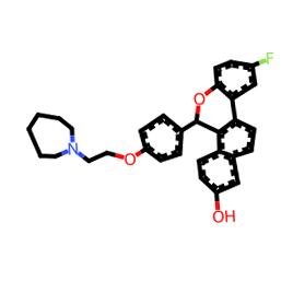 Oc1ccc2c3c(ccc2c1)-c1cc(F)ccc1OC3c1ccc(OCCN2CCCCCC2)cc1